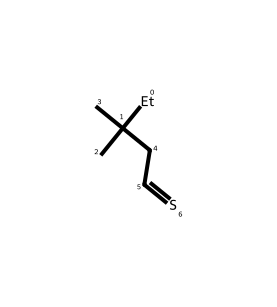 [CH2]CC(C)(C)CC=S